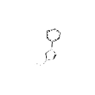 CCCCCN1C=CN(c2ccccc2)C1